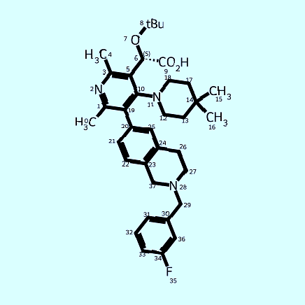 Cc1nc(C)c([C@H](OC(C)(C)C)C(=O)O)c(N2CCC(C)(C)CC2)c1-c1ccc2c(c1)CCN(Cc1cccc(F)c1)C2